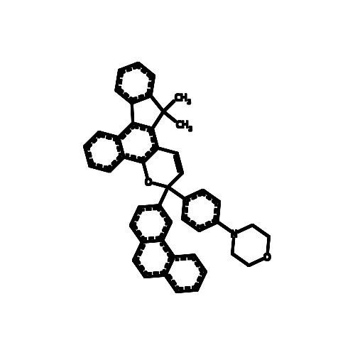 CC1(C)c2ccccc2-c2c1c1c(c3ccccc23)OC(c2ccc(N3CCOCC3)cc2)(c2ccc3ccc4ccccc4c3c2)C=C1